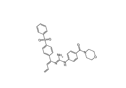 C=C/C=C(\N=C(/N)Nc1ccc(C(=O)N2CCOCC2)cc1)c1ccc(S(=O)(=O)c2ccccc2)cc1